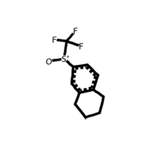 [O-][S+](c1ccc2c(c1)C[CH]CC2)C(F)(F)F